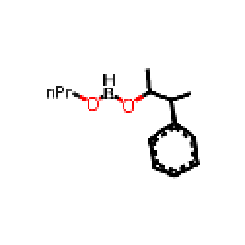 CCCOBOC(C)C(C)c1ccccc1